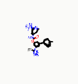 Cc1ccc(-c2cc(OC(=O)Nc3ccnc(N)c3)cc(-n3nnnc3C(C)C)c2)cc1